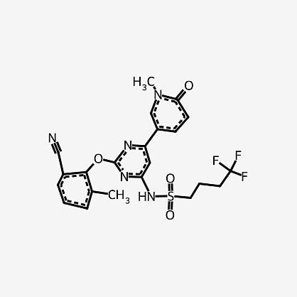 Cc1cccc(C#N)c1Oc1nc(NS(=O)(=O)CCCC(F)(F)F)cc(-c2ccc(=O)n(C)c2)n1